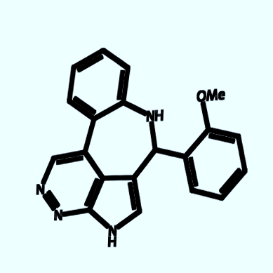 COc1ccccc1C1Nc2ccccc2-c2cnnc3[nH]cc1c23